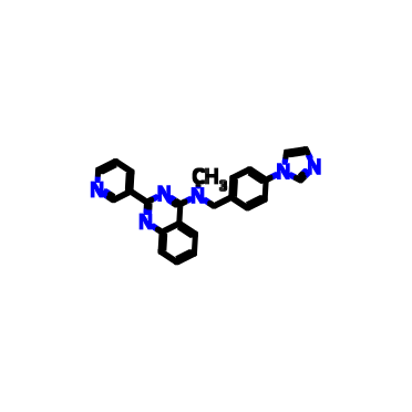 CN(Cc1ccc(-n2ccnc2)cc1)c1nc(-c2cccnc2)nc2ccccc12